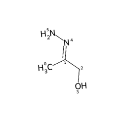 C/C(CO)=N\N